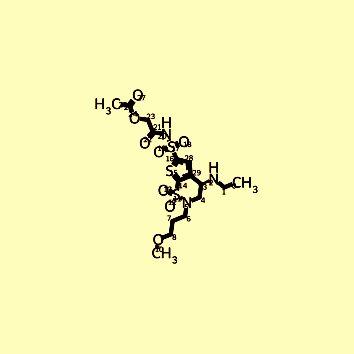 CCN[C@H]1CN(CCCOC)S(=O)(=O)c2sc(S(=O)(=O)NC(=O)COC(C)=O)cc21